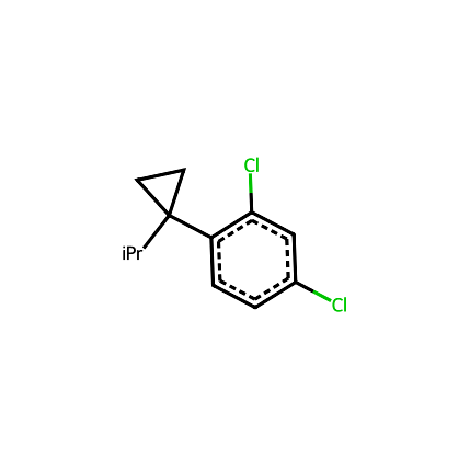 CC(C)C1(c2ccc(Cl)cc2Cl)CC1